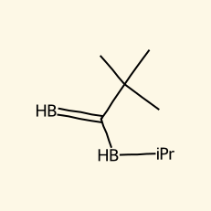 B=C(BC(C)C)C(C)(C)C